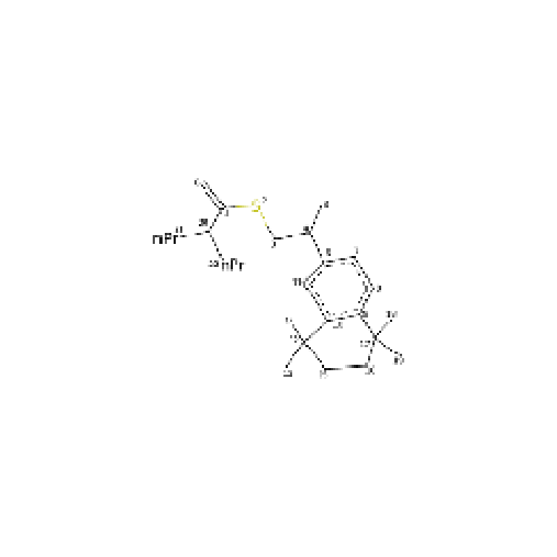 C=C(SCC(C)c1ccc2c(c1)C(C)(C)CCC2(C)C)C(CCC)CCC